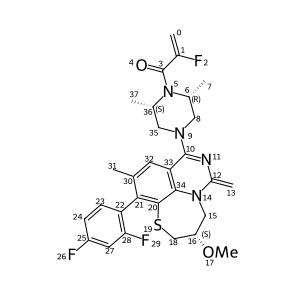 C=C(F)C(=O)N1[C@H](C)CN(C2=NC(=C)N3C[C@H](OC)CSc4c(-c5ccc(F)cc5F)c(C)cc2c43)C[C@@H]1C